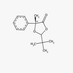 CC(C)(C)C1OC(=O)[C@@](C)(c2ccccc2)O1